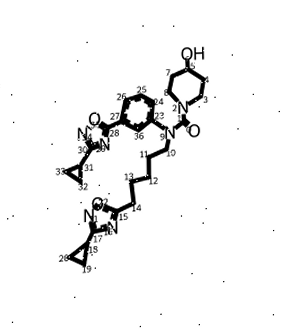 O=C(N1CCC(O)CC1)N(CCCCCc1nc(C2CC2)no1)c1cccc(-c2nc(C3CC3)no2)c1